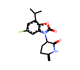 C=C1CCC(n2c(=O)oc3c(C(C)C)cc(F)cc32)C(=O)N1